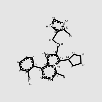 Cc1nnc(-c2ccccc2F)c2nc(OCc3ncnn3C)c(C3CCCC3)n12